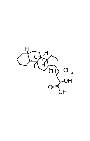 C[C@H](CC(O)C(=O)O)[C@H]1CC[C@H]2[C@@H]3CC[C@H]4CCCC[C@]4(C)[C@H]3CC[C@]12C